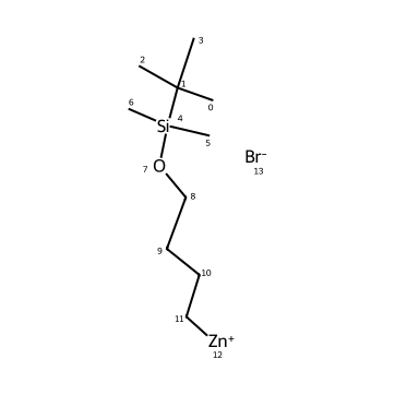 CC(C)(C)[Si](C)(C)OCCC[CH2][Zn+].[Br-]